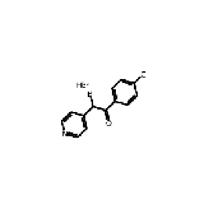 Br.O=C(c1ccc(Cl)cc1)C(Br)c1ccncc1